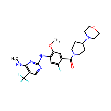 CNc1nc(Nc2cc(F)c(C(=O)N3CCC(N4CCOCC4)CC3)cc2OC)ncc1C(F)(F)F